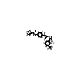 CC(NC(=S)Nc1ccc(NC(=O)c2csnn2)cc1)c1ccc(F)c(C(F)(F)F)c1